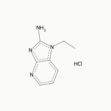 CCn1c(N)nc2ncccc21.Cl